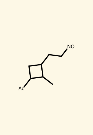 CC(=O)C1CC(CCN=O)C1C